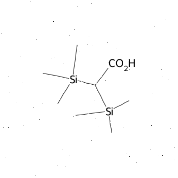 C[Si](C)(C)C(C(=O)O)[Si](C)(C)C